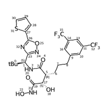 CC(C)(C)[C@H](NC(=O)[C@H](CCCc1cc(C(F)(F)F)cc(C(F)(F)F)c1)[C@H](O)C(=O)NO)c1noc(-c2cccs2)n1